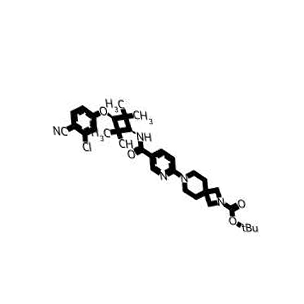 CC(C)(C)OC(=O)N1CC2(CCN(c3ccc(C(=O)N[C@H]4C(C)(C)[C@H](Oc5ccc(C#N)c(Cl)c5)C4(C)C)cn3)CC2)C1